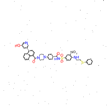 O=C(NS(=O)(=O)c1ccc(NCCSc2ccccc2)c([N+](=O)[O-])c1)c1ccc(N2CCN(C(=O)c3ccc(-c4cncc(O)c4)c4ccccc34)CC2)cc1